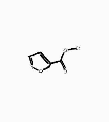 CCOC(=O)c1ccno1